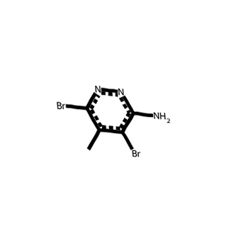 Cc1c(Br)nnc(N)c1Br